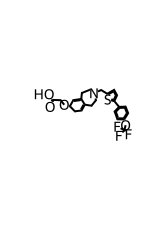 O=C(O)COC1C=C2CCN(Cc3ccc(-c4ccc(OC(F)(F)F)cc4)s3)CCC2=CC1